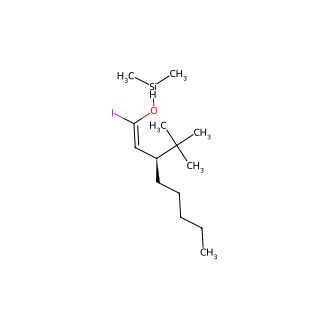 CCCCC[C@@H](/C=C(/I)O[SiH](C)C)C(C)(C)C